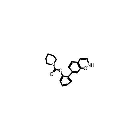 O=C(Oc1ccccc1-c1ccc2c(c1)ONC=C2)N1CCCCC1